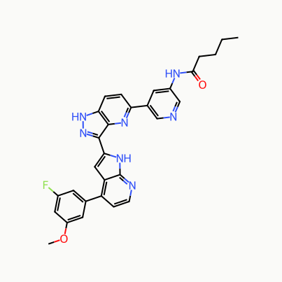 CCCCC(=O)Nc1cncc(-c2ccc3[nH]nc(-c4cc5c(-c6cc(F)cc(OC)c6)ccnc5[nH]4)c3n2)c1